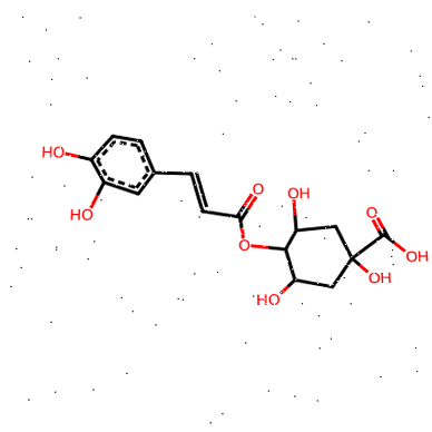 O=C(C=Cc1ccc(O)c(O)c1)OC1C(O)CC(O)(C(=O)O)CC1O